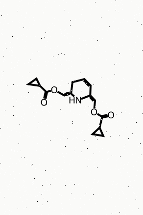 O=C(OC=C1C=CCC(=COC(=O)C2CC2)N1)C1CC1